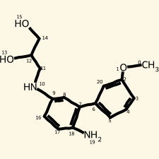 COc1cccc(-c2cc(NCC(O)CO)ccc2N)c1